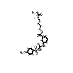 Cc1ccc(S(=O)(=O)NC(=O)Nc2cccc(C(=O)OCCCSNC(N)=O)c2)cc1